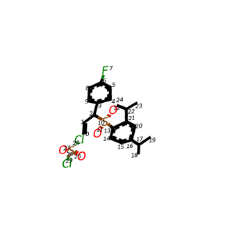 C=CC(c1ccc(F)cc1)S(=O)(=O)c1ccc(C(C)C)cc1C(C)C.O=S(=O)(Cl)Cl